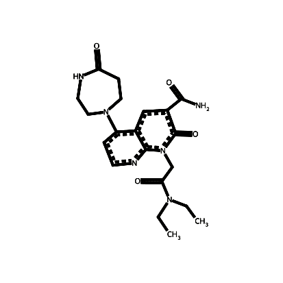 CCN(CC)C(=O)Cn1c(=O)c(C(N)=O)cc2c(N3CCNC(=O)CC3)ccnc21